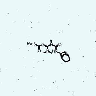 CSC(=O)N=C(N(C)C)N(C)C(=O)NC1C=C2CCC1C2